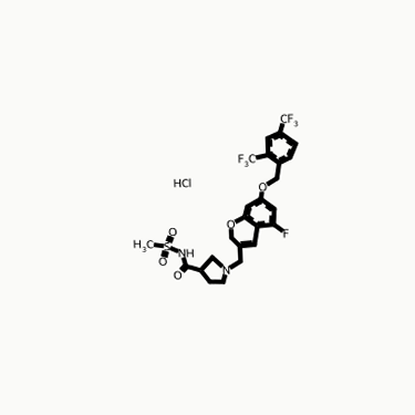 CS(=O)(=O)NC(=O)C1CCN(CC2=Cc3c(F)cc(OCc4ccc(C(F)(F)F)cc4C(F)(F)F)cc3OC2)C1.Cl